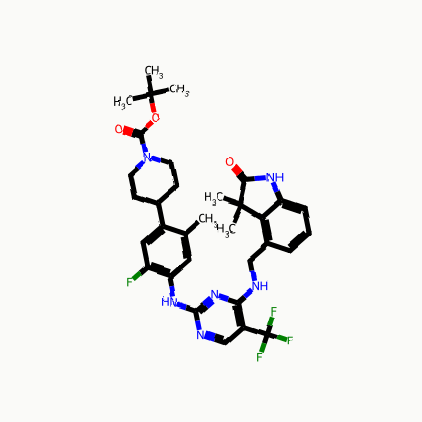 Cc1cc(Nc2ncc(C(F)(F)F)c(NCc3cccc4c3C(C)(C)C(=O)N4)n2)c(F)cc1C1CCN(C(=O)OC(C)(C)C)CC1